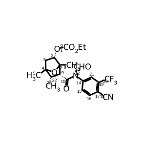 CCOC(=O)O[C@H]1CC2(C)OC1(C)[C@H](C(=O)N(C=O)c1ccc(C#N)c(C(F)(F)F)c1)[C@@H]2C